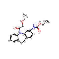 CCOCC(=O)N1c2ccccc2CCc2ccc(NC(=O)OCC)cc21